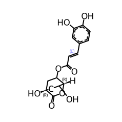 O=C(/C=C/c1ccc(O)c(O)c1)OC1C[C@]2(O)CC(O)[C@H]1OC2=O